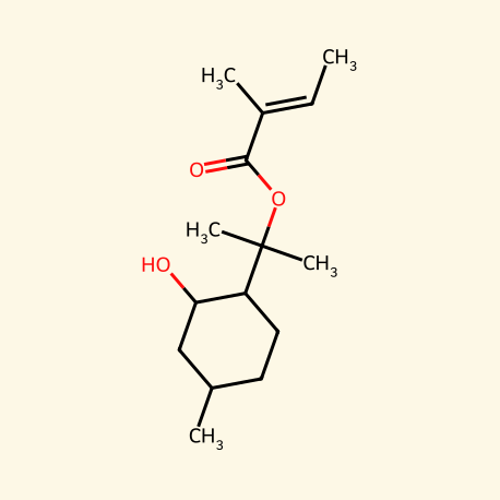 CC=C(C)C(=O)OC(C)(C)C1CCC(C)CC1O